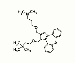 CN(C)CCCOCc1cc2c(n1COCC[Si](C)(C)C)-c1ccccc1Sc1ccccc1-2